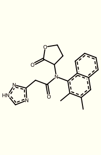 Cc1cc2ccccc2c(N(C(=O)Cc2nc[nH]n2)C2CCOC2=O)c1C